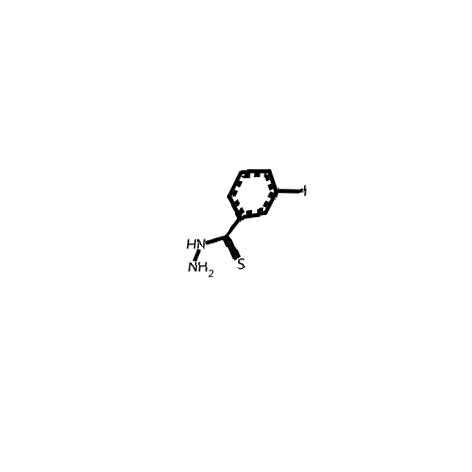 NNC(=S)c1cccc(I)c1